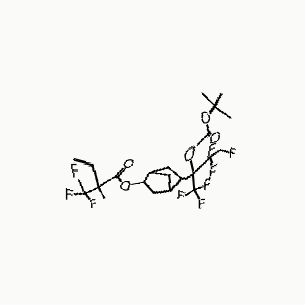 CCC(C)(C(=O)OC1CC2CC1CC2C(OC(=O)OC(C)(C)C)(C(F)(F)F)C(F)(F)F)C(F)(F)F